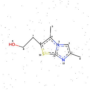 Cc1cn2c(C)c(CCO)sc2n1